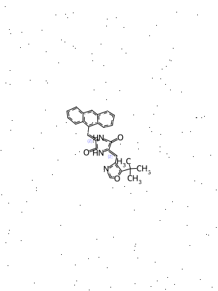 CC(C)(C)c1ocnc1/C=c1\[nH]c(=O)/c(=C/c2c3ccccc3cc3ccccc23)[nH]c1=O